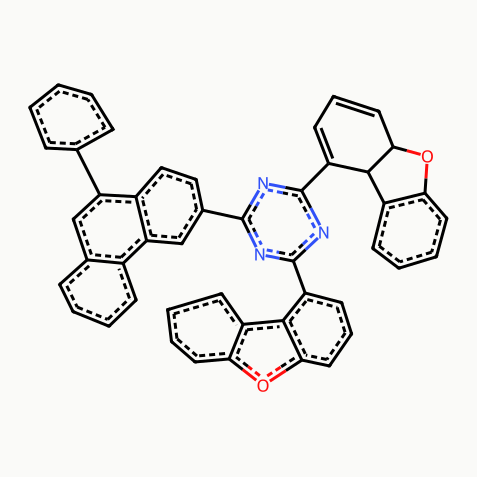 C1=CC2Oc3ccccc3C2C(c2nc(-c3ccc4c(-c5ccccc5)cc5ccccc5c4c3)nc(-c3cccc4oc5ccccc5c34)n2)=C1